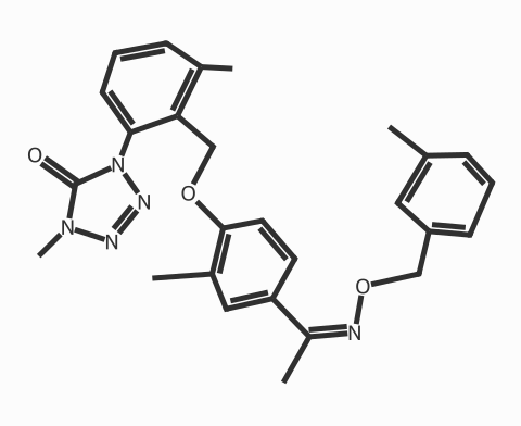 CC(=NOCc1cccc(C)c1)c1ccc(OCc2c(C)cccc2-n2nnn(C)c2=O)c(C)c1